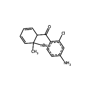 CCCCC1(C)C=CC=CC1C(=O)c1ccc(N)cc1Cl